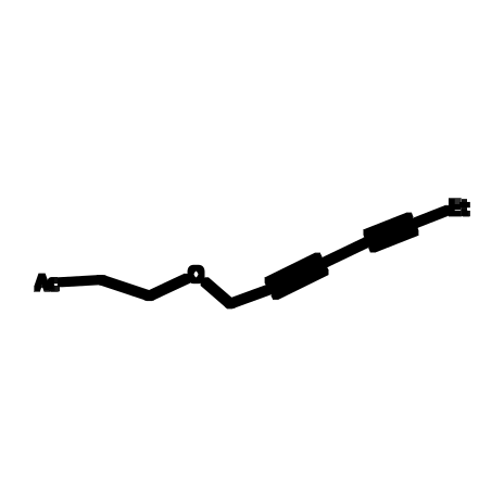 CCC#CC#CCOCCC(C)=O